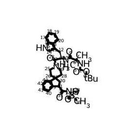 CC(C)(C)OC(=O)NC(C)(C)C(=O)N[C@H](Cc1c[nH]c2ccccc12)C(=O)N1CCC2(CC1)CC(C(=O)NS(C)(=O)=O)c1ccccc12